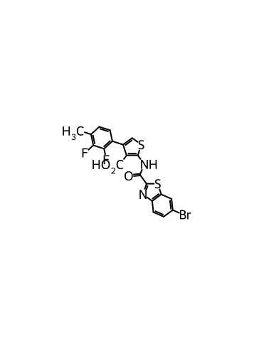 Cc1ccc(-c2csc(NC(=O)c3nc4ccc(Br)cc4s3)c2C(=O)O)c(F)c1F